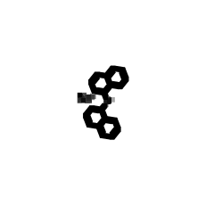 [Na+].c1ccc2c([P-]c3cccc4ccccc34)cccc2c1